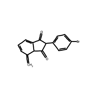 C=C1C=CC=C2C(=O)C(c3ccc(Br)cc3)C(=O)C12